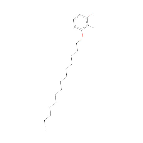 CCCCCCCCCCCCCCOc1cccc(O)c1C